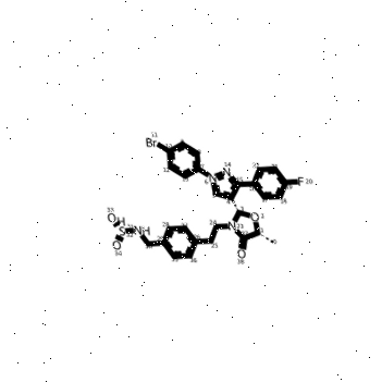 C[C@H]1O[C@@H](c2cn(-c3ccc(Br)cc3)nc2-c2ccc(F)cc2)N(CCc2ccc(CN[SH](=O)=O)cc2)C1=O